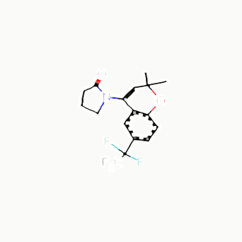 CC1(C)C=C(N2CCCC2=O)c2cc(C(F)(F)C(F)(F)F)ccc2O1